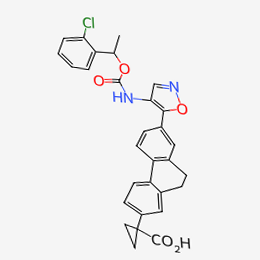 CC(OC(=O)Nc1cnoc1-c1ccc2c(c1)CCc1cc(C3(C(=O)O)CC3)ccc1-2)c1ccccc1Cl